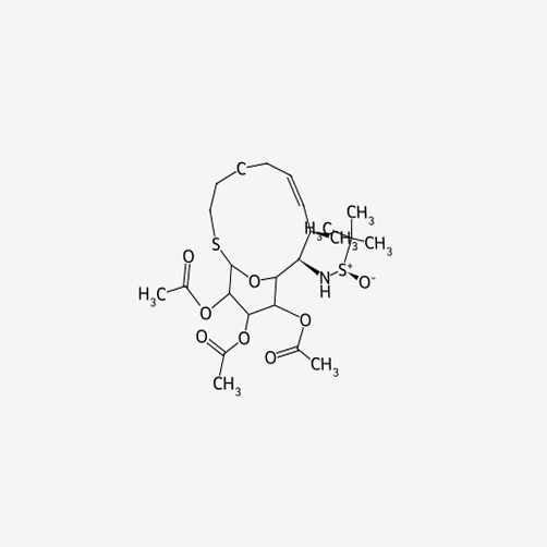 CC(=O)OC1C2OC(C(OC(C)=O)C1OC(C)=O)[C@H](N[S@+]([O-])C(C)(C)C)[C@H](C)/C=C\CCCCS2